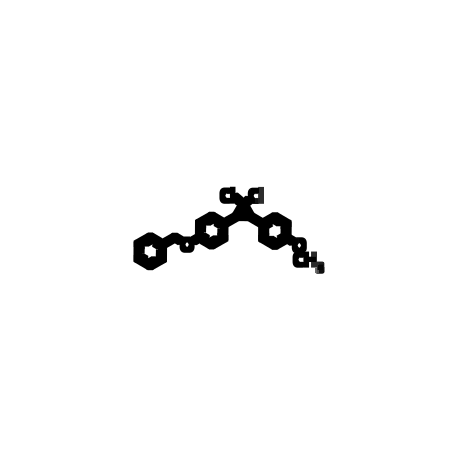 COc1ccc(C2C(c3ccc(OCc4ccccc4)cc3)C2(Cl)Cl)cc1